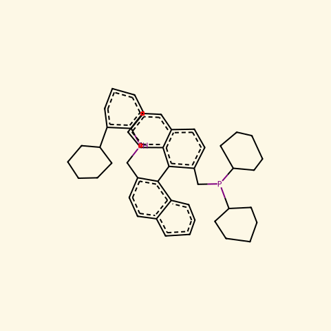 c1ccc(C2CCCCC2)c(PCc2ccc3ccccc3c2-c2c(CP(C3CCCCC3)C3CCCCC3)ccc3ccccc23)c1